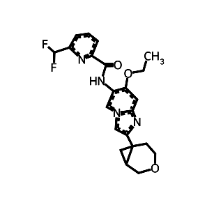 CCOc1cc2nc(C34CCOCC3C4)cn2cc1NC(=O)c1cccc(C(F)F)n1